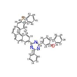 C=Cc1ccc2cc(-c3nc(-c4ccccc4)nc(-c4ccc5c(c4)oc4ccccc45)n3)ccc2c1-c1ccc2sc3ccccc3c2c1C